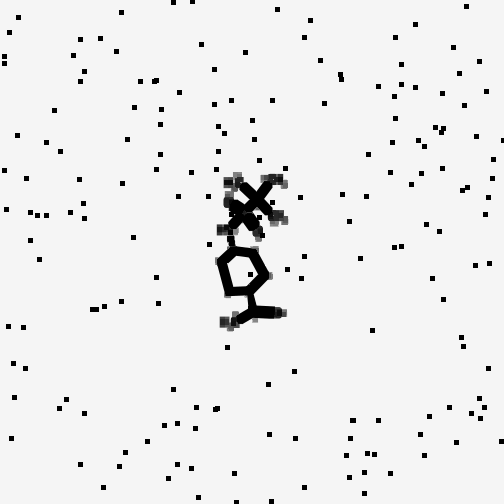 CC(=O)[C@H]1CC[C@H](NS(=O)(=O)C(C)(C)C)CC1